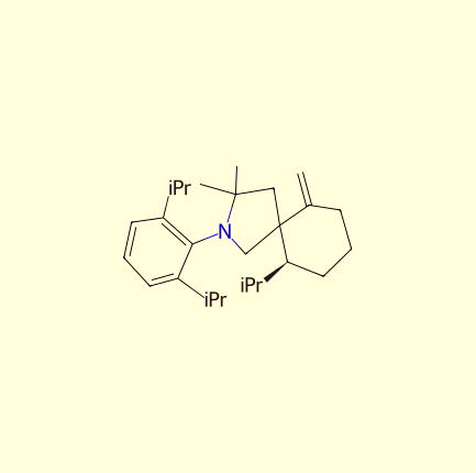 C=C1CCC[C@@H](C(C)C)C12CN(c1c(C(C)C)cccc1C(C)C)C(C)(C)C2